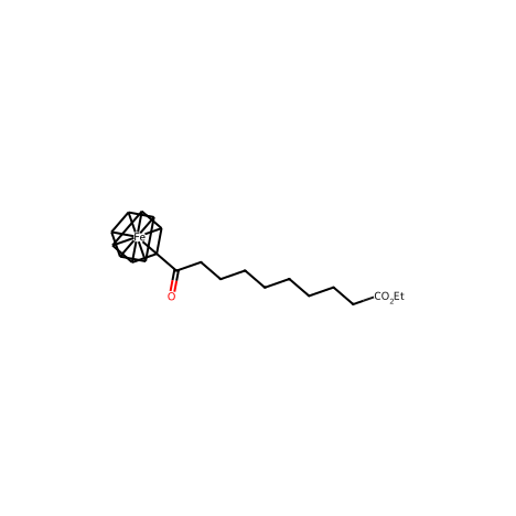 CCOC(=O)CCCCCCCCC(=O)[C]12[CH]3[CH]4[CH]5[CH]1[Fe]45321678[CH]2[CH]1[CH]6[CH]7[CH]28